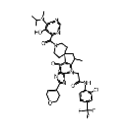 CC1CC2(CCN(C(=O)c3ncnc(N(C)C(C)C)c3O)CC2)c2c1n(CC(=O)Nc1ccc(C(F)(F)F)cc1Cl)c1nc(C3=CCOCC3)nn1c2=O